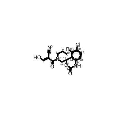 N#C/C(=C\O)C(=O)N1CCC[C@@]2(C1)OC(=O)Nc1ccc(Cl)c(F)c12